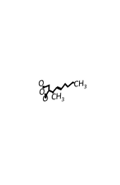 CCCCC=CC(C)C1CC(=O)OC1=O